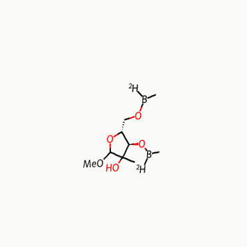 [2H]B(C)OC[C@H]1OC(OC)C(C)(O)[C@@H]1OB([2H])C